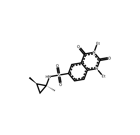 CCn1c(=O)c2cc(S(=O)(=O)N[C@@]3(C)C[C@H]3C)ccc2n(CC)c1=O